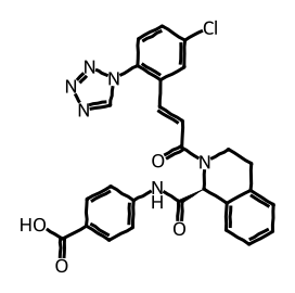 O=C(O)c1ccc(NC(=O)[C@@H]2c3ccccc3CCN2C(=O)C=Cc2cc(Cl)ccc2-n2cnnn2)cc1